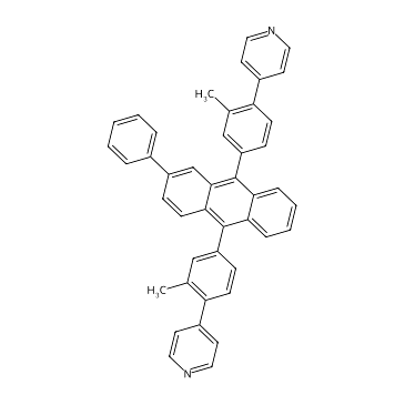 Cc1cc(-c2c3ccccc3c(-c3ccc(-c4ccncc4)c(C)c3)c3cc(-c4ccccc4)ccc23)ccc1-c1ccncc1